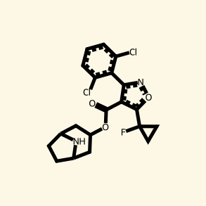 O=C(OC1CC2CCC(C1)N2)c1c(-c2c(Cl)cccc2Cl)noc1C1(F)CC1